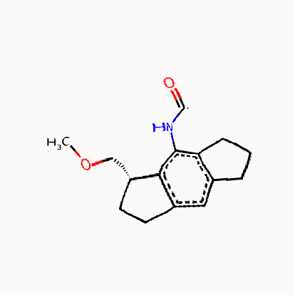 COC[C@H]1CCc2cc3c(c(N[C]=O)c21)CCC3